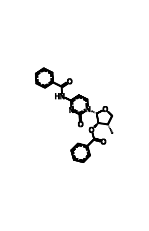 C[C@H]1CO[C@@H](n2ccc(NC(=O)c3ccccc3)nc2=O)[C@@H]1OC(=O)c1ccccc1